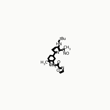 CN(N=O)c1nc(C2CCC(C)(C)C(NC(=O)c3ncco3)C2)ccc1NCC(C)(C)C